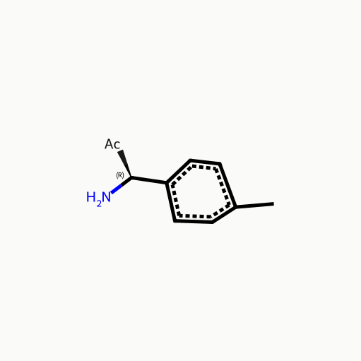 CC(=O)[C@H](N)c1ccc(C)cc1